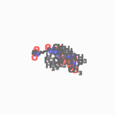 CC[C@H](C)[C@@H]([C@@H](CC(=O)N1CCC[C@H]1C(OC)[C@@H](C)C(=O)N[C@@H](Cc1ccccc1)C(=O)OC)OC)N(C)C(=O)[C@@H](NC(=O)C(C)(C)CNC(=O)CCCCCN1C(=O)C=CC1=O)C(C)C